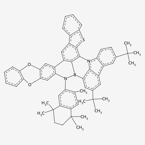 Cc1cc2c(cc1N1B3c4c(cc5c(sc6ccccc65)c4-n4c5ccc(C(C)(C)C)cc5c5cc(C(C)(C)C)cc3c54)-c3cc4c(cc31)Oc1ccccc1O4)C(C)(C)CCC2(C)C